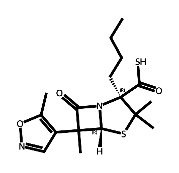 CCCC[C@@]1(C(=O)S)N2C(=O)C(C)(c3cnoc3C)[C@H]2SC1(C)C